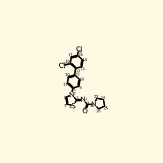 O=C(N=c1sccn1-c1ccc(-c2ccc(Cl)cc2Cl)cc1)N1CCCC1